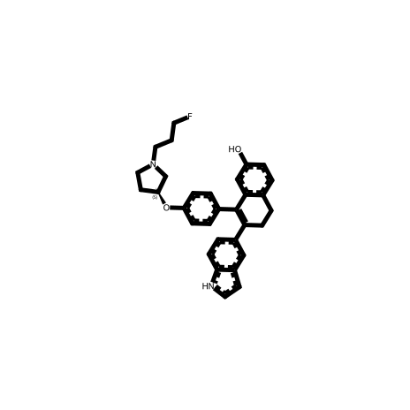 Oc1ccc2c(c1)C(c1ccc(O[C@H]3CCN(CCCF)C3)cc1)=C(c1ccc3[nH]ccc3c1)CC2